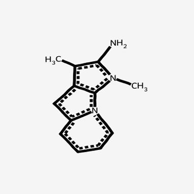 Cc1c(N)n(C)c2c1cc1ccccn12